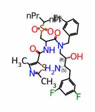 CCCC(CCC)S(=O)(=O)CC(NC(=O)c1sc(C)nc1C)C(=O)N(Cc1cccc(CC)c1)C[C@@H](O)[C@@H](N)Cc1cc(F)cc(F)c1